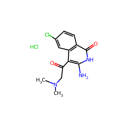 CN(C)CC(=O)c1c(N)[nH]c(=O)c2ccc(Cl)cc12.Cl